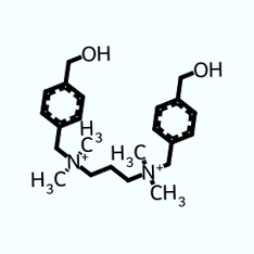 C[N+](C)(CCC[N+](C)(C)Cc1ccc(CO)cc1)Cc1ccc(CO)cc1